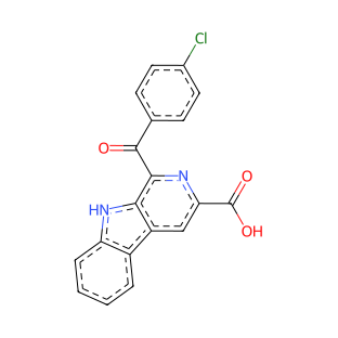 O=C(O)c1cc2c([nH]c3ccccc32)c(C(=O)c2ccc(Cl)cc2)n1